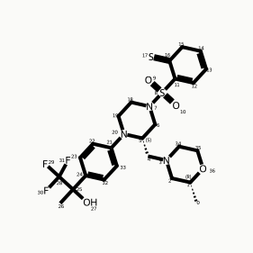 C[C@@H]1CN(C[C@H]2CN(S(=O)(=O)C3=CC=CCC3=S)CCN2c2ccc(C(C)(O)C(F)(F)F)cc2)CCO1